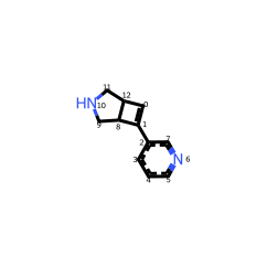 C1=C(c2cccnc2)C2CNCC12